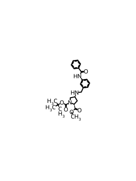 COC(=O)[C@@H]1C[C@H](NCc2cccc(NC(=O)c3ccccc3)c2)CN1C(=O)OC(C)(C)C